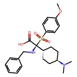 COc1ccc(S(=O)(=O)[C@@](NCc2ccccc2)(C(=O)O)[C@H]2CC[C@H](N(C)C)CC2)cc1